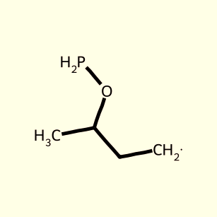 [CH2]CC(C)OP